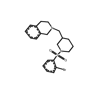 O=S(=O)(c1ccccc1Br)N1CCCC(CN2CCc3ccccc3C2)C1